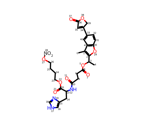 Cc1c(C(C)OC(=O)CCC(=O)NC(Cc2c[nH]cn2)C(=O)OCCCCO[N+](=O)[O-])oc2ccc(C3=CC(=O)OC3)cc12